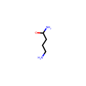 NCCCC(N)[O]